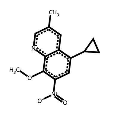 COc1c([N+](=O)[O-])cc(C2CC2)c2cc(C)cnc12